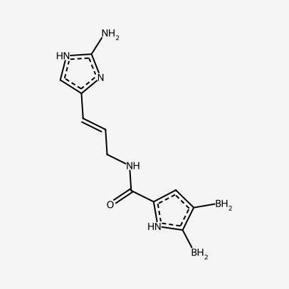 Bc1cc(C(=O)NC/C=C/c2c[nH]c(N)n2)[nH]c1B